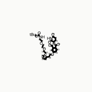 CC(C)(C)OC(=O)NCCOCCOCCn1nncc1CCOc1ccc2c(c1)C(=O)N(C1CCC(=O)NC1=O)C2=O